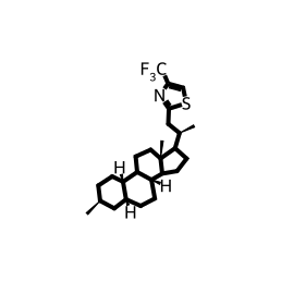 C[C@H]1CC[C@@H]2C3CC[C@@]4(C)C(CCC4[C@H](C)Cc4nc(C(F)(F)F)cs4)[C@@H]3CC[C@@H]2C1